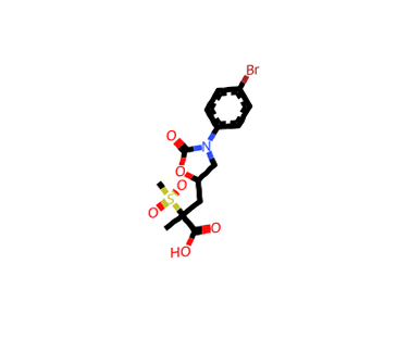 CC(CC1CN(c2ccc(Br)cc2)C(=O)O1)(C(=O)O)S(C)(=O)=O